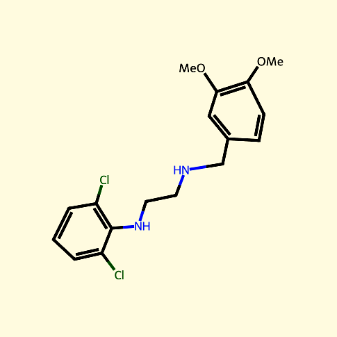 COc1ccc(CNCCNc2c(Cl)cccc2Cl)cc1OC